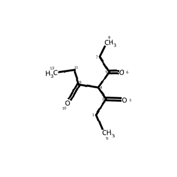 CCC(=O)C(C(=O)CC)C(=O)CC